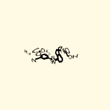 CC(C)Oc1ccc(-c2nc(-c3cccc4c3CCC43CCN(C(=O)CO)C3)ns2)cc1C#N